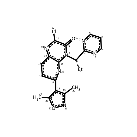 CC[C@@H](c1ncccn1)n1c(=O)c(Cl)nc2ccc(-c3c(C)noc3C)nc21